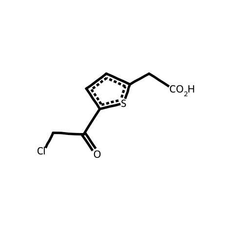 O=C(O)Cc1ccc(C(=O)CCl)s1